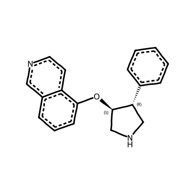 c1ccc([C@@H]2CNC[C@H]2Oc2cccc3cnccc23)cc1